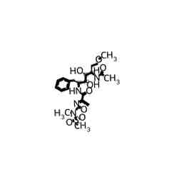 COCC[C@@H](NC(C)=O)[C@@H](O)[C@H](O)[C@H](Cc1ccccc1)NC(=O)c1coc(N(C)S(C)(=O)=O)n1